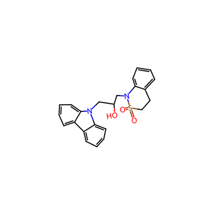 O=S1(=O)CCc2ccccc2N1CC(O)Cn1c2ccccc2c2ccccc21